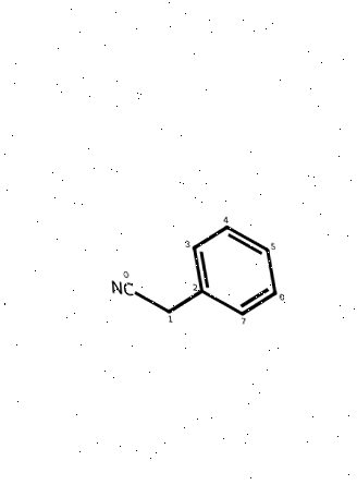 N#[13C]Cc1ccccc1